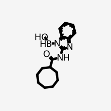 O=C(Nc1nc2ccccc2n1BO)C1CCCCCCC1